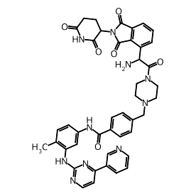 Cc1ccc(NC(=O)c2ccc(CN3CCN(C(=O)C(N)c4cccc5c4C(=O)N(C4CCC(=O)NC4=O)C5=O)CC3)cc2)cc1Nc1nccc(-c2cccnc2)n1